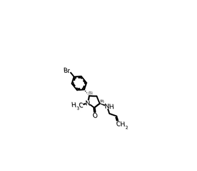 C=CCN[C@@H]1C[C@@H](c2ccc(Br)cc2)N(C)C1=O